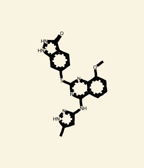 COc1cccc2c(Nc3cc(C)[nH]n3)nc(Sc3ccc4c(=O)[nH][nH]c4c3)nc12